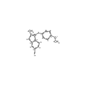 COc1ccc(Cn2c(C)cc3cc(F)ccc32)cc1